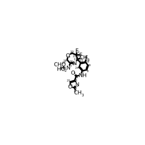 Cc1nc(C(=O)Nc2ccc(F)c(C3(C)N=C(N)COCC3(F)F)c2)co1.O=CO